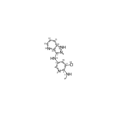 CNc1ncc(Nc2n[nH]c3cccnc23)cc1Cl